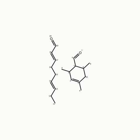 CC1=CC(C)C(C=O)C(C)C1.CCC=CCCC=CC=O